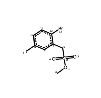 COS(=O)(=O)Cc1cc(I)ccc1Br